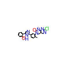 COc1ccccc1-c1cnc(-c2ccc(C)c(N3Cc4cnc(Cl)nc4N(C)C3=O)c2)[nH]1